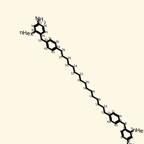 CCCCCCc1cc(N)ccc1Cc1ccc(CCCCCCCCCCCCCCCCc2ccc(Cc3ccc(N)cc3CCCCCC)cc2)cc1